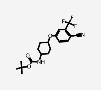 CC(C)(C)OC(=O)NC1CCC(Oc2ccc(C#N)c(C(F)(F)F)c2)CC1